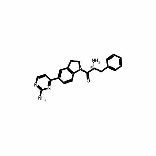 Nc1nccc(-c2ccc3c(c2)CCN3C(=O)[C@H](N)Cc2ccccc2)n1